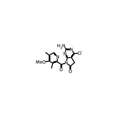 COc1c(C)cnc(C(=O)N2C(=O)Cc3c(Cl)nc(N)nc32)c1C